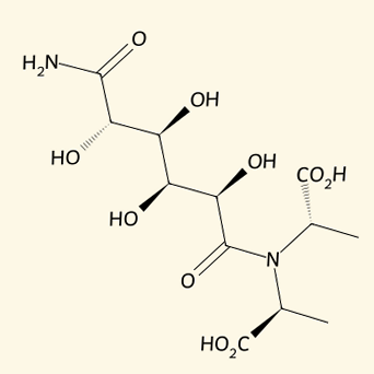 C[C@@H](C(=O)O)N(C(=O)[C@H](O)[C@@H](O)[C@H](O)[C@H](O)C(N)=O)[C@@H](C)C(=O)O